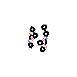 C(=CC(=Nc1ccc(-c2ccccc2)cc1)Oc1ccccc1)Oc1ccccc1.Ic1ccc(N=C(C=COc2ccccc2)Oc2ccccc2)cc1